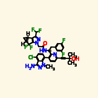 Cn1nc(N)c2c(Cl)ccc(-c3ccc(C#CC(C)(C)O)nc3[C@H](Cc3cc(F)cc(F)c3)NC(=O)Cn3nc(C(F)F)c4c3C(F)(F)[C@@H]3C[C@H]43)c21